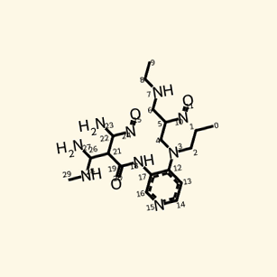 CCCN(CC(CNCC)N=O)c1ccncc1NC(=O)C(C(N)N=O)C(N)NC